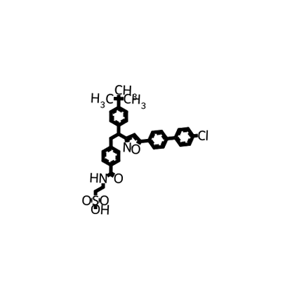 CC(C)(C)c1ccc(C(Cc2ccc(C(=O)NCCS(=O)(=O)O)cc2)c2cc(-c3ccc(-c4ccc(Cl)cc4)cc3)on2)cc1